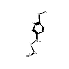 CCOc1ccc(SOOO)cc1